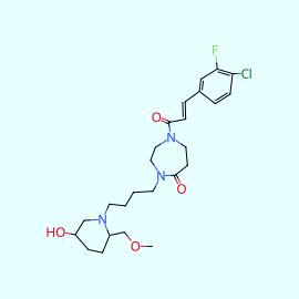 COCC1CCC(O)CN1CCCCN1CCN(C(=O)/C=C/c2ccc(Cl)c(F)c2)CCC1=O